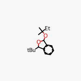 CCC(C)(C)OC1OC(C(C)(C)C)c2ccccc21